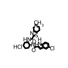 CN1CCc2sc(C(=O)N[C@@H]3CCCC[C@@H]3NC(=O)c3cc4cc(Cl)ccc4[nH]3)nc2C1.Cl